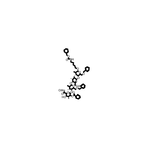 COC(=O)C1O[C@@H](O[C@@H]2C(COCc3ccccc3)O[C@@H](O[C@@H]3C(COC(C)=O)O[C@H](O[C@H]4C(COCc5ccccc5)O[C@H](OCCCCCNC(=O)OCc5ccccc5)C(C)[C@H]4C)C(C)[C@H]3C)C(C)[C@H]2C)C(OC(=O)c2ccccc2)[C@@H](C)[C@@H]1O